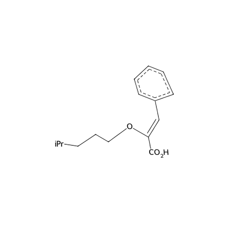 CC(C)CCCOC(=Cc1ccccc1)C(=O)O